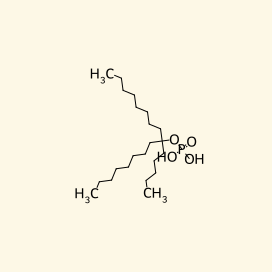 CCCCCCCCC(CCCCC)(CCCCCCCC)OP(=O)(O)O